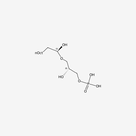 CCCCCCCCC[C@@H](O)OC[C@@H](O)COP(=O)(O)O